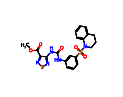 COC(=O)c1nsnc1NC(=O)Nc1cccc(S(=O)(=O)N2CCCc3ccccc32)c1